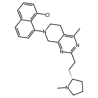 Cc1nc(CC[C@@H]2CCCN2C)nc2c1CCN(c1cccc3cccc(Cl)c13)C2